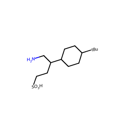 CC(C)(C)C1CCC(C(CN)CCS(=O)(=O)O)CC1